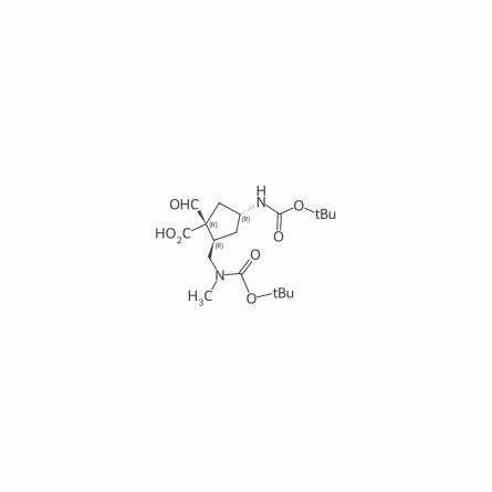 CN(C[C@@H]1C[C@@H](NC(=O)OC(C)(C)C)C[C@@]1(C=O)C(=O)O)C(=O)OC(C)(C)C